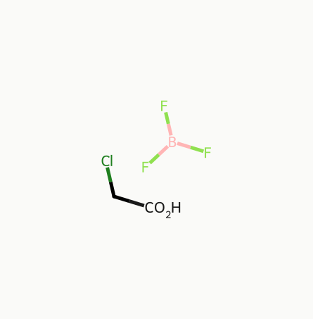 FB(F)F.O=C(O)CCl